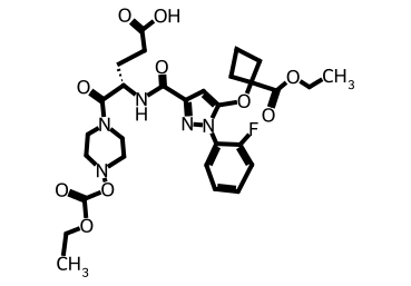 CCOC(=O)ON1CCN(C(=O)[C@H](CCC(=O)O)NC(=O)c2cc(OC3(C(=O)OCC)CCC3)n(-c3ccccc3F)n2)CC1